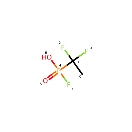 CC(F)(F)P(=O)(O)F